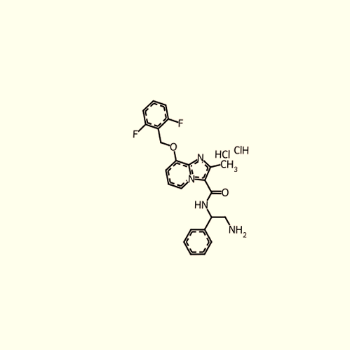 Cc1nc2c(OCc3c(F)cccc3F)cccn2c1C(=O)NC(CN)c1ccccc1.Cl.Cl